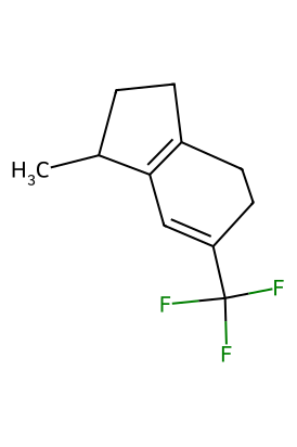 CC1CCC2=C1C=C(C(F)(F)F)CC2